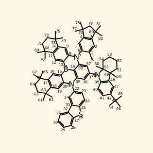 Cc1cc2c(cc1N1c3cc4c(cc3B3c5cc6c(cc5N(c5ccc7sc8ccccc8c7c5)c5cc(N7c8ccc(C(C)(C)C)cc8C8(C)CCCCC78C)cc1c53)C(C)(C)CCC6(C)C)C(C)(C)CCC4(C)C)C(C)(C)CC2(C)C